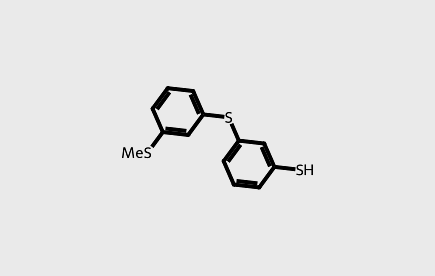 CSc1cccc(Sc2cccc(S)c2)c1